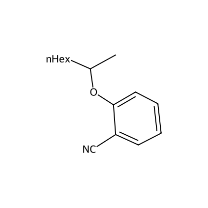 CCCCCCC(C)Oc1ccccc1C#N